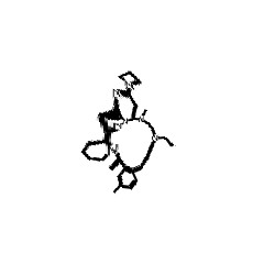 C=C1c2cc(C)ccc2CCCN(CC)CCN(C)c2cc(N3CCC3)nc3cc(nn23)C2CCCCN12